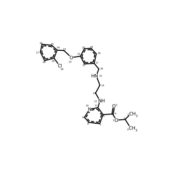 CC(C)OC(=O)c1cccnc1NCCNCc1cccc(OCc2ccccc2Cl)c1